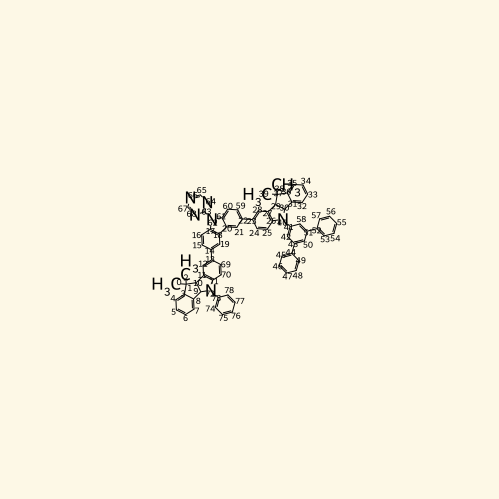 CC1(C)c2ccccc2C2C1c1cc(-c3ccc4c(c3)c3cc(-c5ccc6c(c5)C5C(c7ccccc7C5(C)C)N6c5cc(-c6ccccc6)cc(-c6ccccc6)c5)ccc3n4-c3ncncn3)ccc1N2c1ccccc1